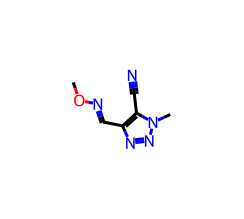 CON=Cc1nnn(C)c1C#N